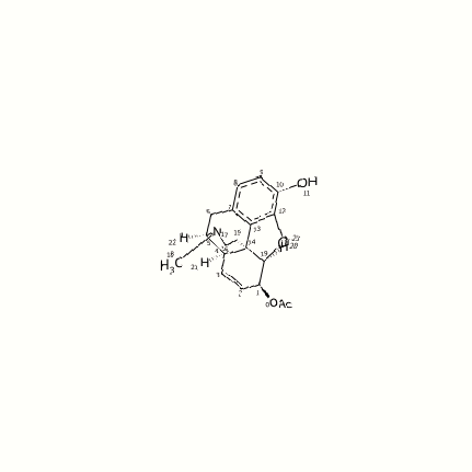 CC(=O)O[C@H]1C=C[C@H]2[C@H]3Cc4ccc(O)c5c4[C@@]2(CCN3C)[C@H]1O5